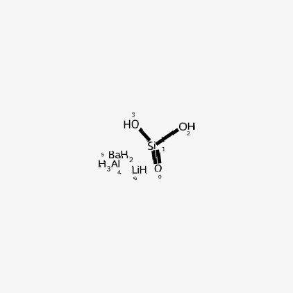 O=[Si](O)O.[AlH3].[BaH2].[LiH]